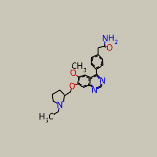 CCN1CCCC(COc2cc3ncnc(-c4ccc(CC(N)=O)cc4)c3cc2OC)C1